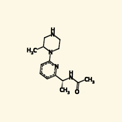 CC(=O)N[C@H](C)c1cccc(N2CCNCC2C)n1